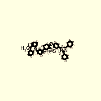 CC1(C)c2ccccc2N(c2cccc(-c3ccc4c(c3)[Si](C)(C)c3cc(-c5nc(-c6ccccc6)nc(-c6ccccc6)n5)ccc3O4)c2)c2ccccc21